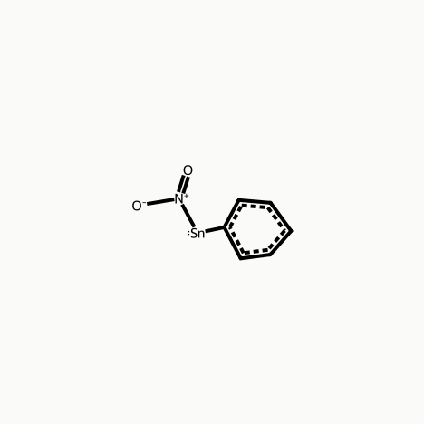 O=[N+]([O-])[Sn][c]1ccccc1